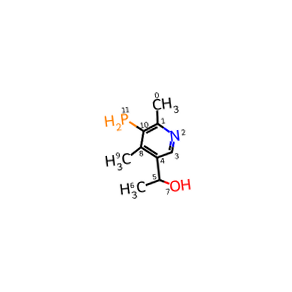 Cc1ncc(C(C)O)c(C)c1P